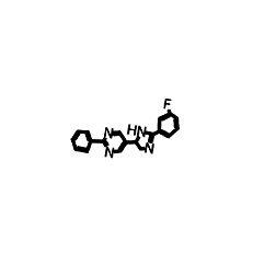 Fc1cccc(C2=NCC(c3cnc(-c4ccccc4)nc3)N2)c1